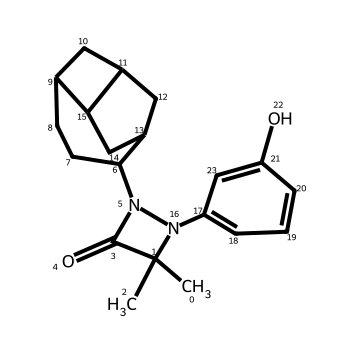 CC1(C)C(=O)N(C2CCC3CC4CC2CC34)N1c1cccc(O)c1